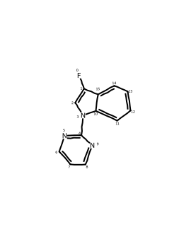 Fc1cn(-c2ncccn2)c2ccccc12